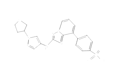 CS(=O)(=O)c1ccc(-c2cccn3nc(Nc4cnn(C5CCOC5)c4)nc23)cc1